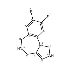 Fc1cc2c(cc1F)N1CNN=C1CNC2